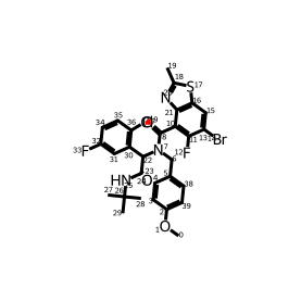 COc1ccc(CN(C(=O)c2c(F)c(Br)cc3sc(C)nc23)C(C(=O)NC(C)(C)C)c2cc(F)ccc2Cl)cc1